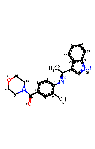 C/C(=N\c1ccc(C(=O)N2CCOCC2)cc1C)c1c[nH]c2ccccc12